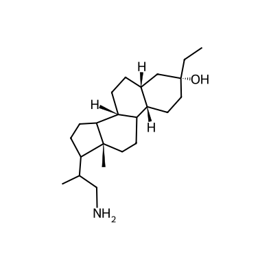 CC[C@@]1(O)CC[C@@H]2C3CC[C@]4(C)C(C(C)CN)CCC4[C@@H]3CC[C@@H]2C1